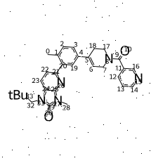 Cc1ccc(C2=CCN(C(=O)c3cccnc3)CC2)cc1-c1ccc2c(n1)n(C)c(=O)n2CC(C)(C)C